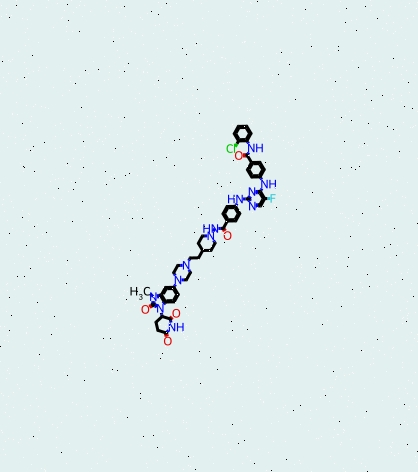 Cn1c(=O)n(C2CCC(=O)NC2=O)c2ccc(N3CCN(CCC4CCN(NC(=O)c5ccc(Nc6ncc(F)c(Nc7ccc(C(=O)Nc8ccccc8Cl)cc7)n6)cc5)CC4)CC3)cc21